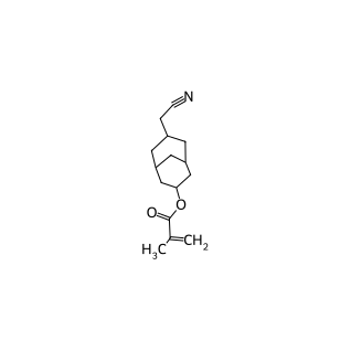 C=C(C)C(=O)OC1CC2CC(CC#N)CC(C2)C1